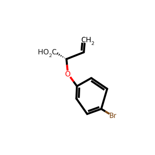 C=C[C@H](Oc1ccc(Br)cc1)C(=O)O